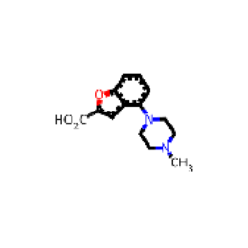 CN1CCN(c2cccc3oc(C(=O)O)cc23)CC1